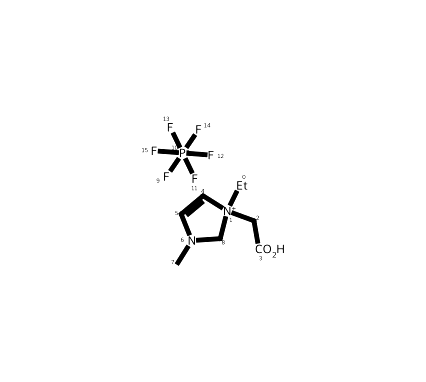 CC[N+]1(CC(=O)O)C=CN(C)C1.F[P-](F)(F)(F)(F)F